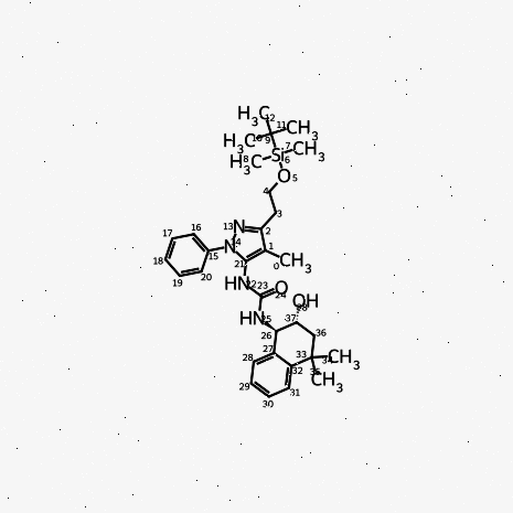 Cc1c(CCO[Si](C)(C)C(C)(C)C)nn(-c2ccccc2)c1NC(=O)N[C@@H]1c2ccccc2C(C)(C)C[C@H]1O